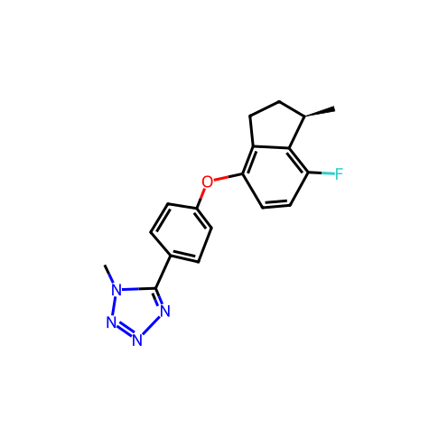 C[C@@H]1CCc2c(Oc3ccc(-c4nnnn4C)cc3)ccc(F)c21